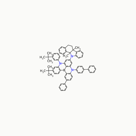 CC(C)(C)c1cccc(N2c3cc(C(C)(C)C)ccc3B3c4cc(-c5ccccc5)ccc4N(c4ccc(-c5ccccc5)cc4)c4cc(N5c6ccccc6C6(C)CCc7ccccc7C56C)cc2c43)c1